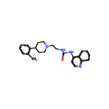 Cc1ccccc1C1CCN(CCNC(=O)Nc2ccnc3ccccc23)CC1